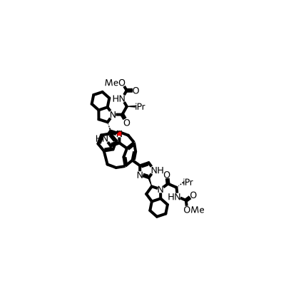 COC(=O)N[C@H](C(=O)N1C2CCCCC2C[C@H]1c1nc(-c2cc3c(-c4c[nH]c([C@@H]5CC6CCCCC6N5C(=O)[C@@H](NC(=O)OC)C(C)C)n4)cc2CCc2ccc(cc2)CC3)c[nH]1)C(C)C